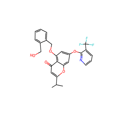 CC(C)c1cc(=O)c2c(OCc3ccccc3CO)cc(Oc3ncccc3C(F)(F)F)cc2o1